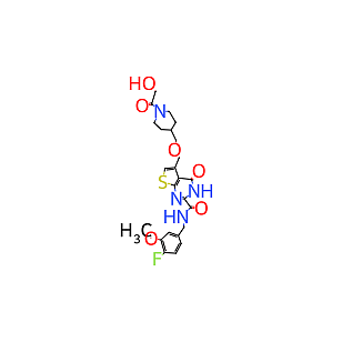 COc1cc(CNC(=O)c2nc3scc(COCC4CCN(C(=O)CO)CC4)c3c(=O)[nH]2)ccc1F